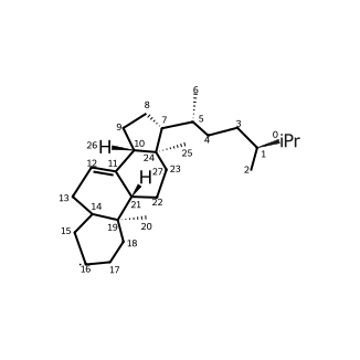 CC(C)[C@@H](C)CC[C@@H](C)[C@H]1CC[C@H]2C3=CCC4C[CH]CC[C@]4(C)[C@H]3CC[C@]12C